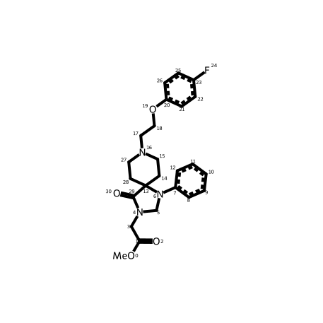 COC(=O)CN1CN(c2ccccc2)C2(CCN(CCOc3ccc(F)cc3)CC2)C1=O